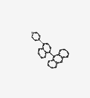 [c]1c2ccccc2c(-c2ccc(-c3ccncc3)c3ccccc23)c2ccccc12